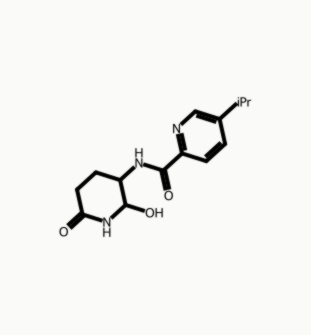 CC(C)c1ccc(C(=O)NC2CCC(=O)NC2O)nc1